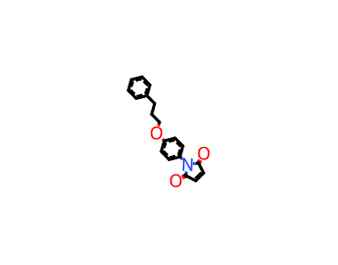 O=C1C=CC(=O)N1c1ccc(OCCCc2ccccc2)cc1